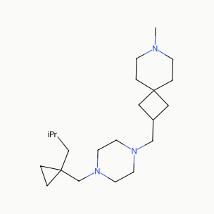 CC(C)CC1(CN2CCN(CC3CC4(CCN(C)CC4)C3)CC2)CC1